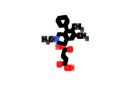 Cc1cc2c(c(-c3ccccc3)c1C)CN(C)CC2.O=C(O)C=CC(=O)O